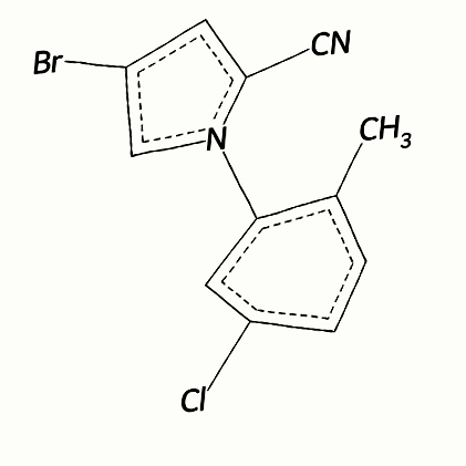 Cc1ccc(Cl)cc1-n1cc(Br)cc1C#N